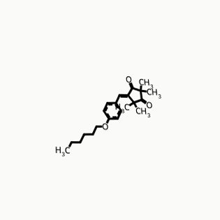 CCCCCCOc1ccc(C=C2C(=O)C(C)(C)C(=O)C2(C)C)cc1